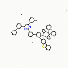 CC1C=C(c2cc(-c3cccc(-c4ccccc4)c3)nc(-c3cccc(-c4ccc5c(c4)-c4cc6sc7ccccc7c6cc4C54c5ccccc5C5(c6ccccc6-c6ccccc65)c5ccccc54)c3)n2)C=CC1